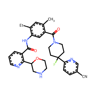 CCc1cc(C)c(C(=O)N2CCC(F)(c3ccc(C#N)cn3)CC2)cc1NC(=O)c1cccnc1C1CNCCO1